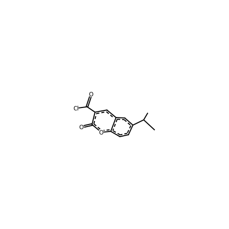 CC(C)c1ccc2oc(=O)c(C(=O)Cl)cc2c1